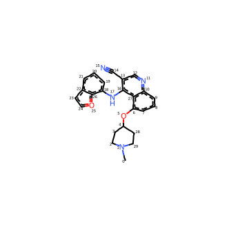 CN1CCC(Oc2cccc3ncc(C#N)c(Nc4cccc5ccoc45)c23)CC1